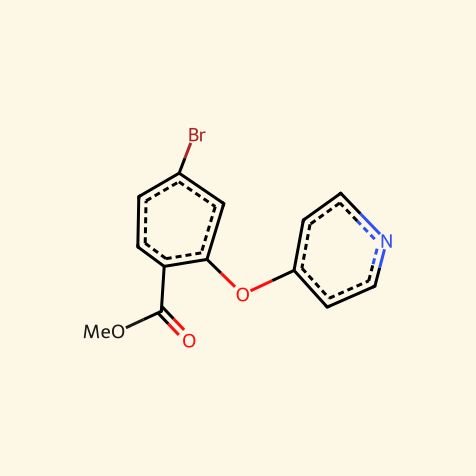 COC(=O)c1ccc(Br)cc1Oc1ccncc1